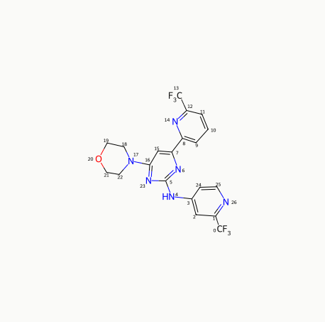 FC(F)(F)c1cc(Nc2nc(-c3cccc(C(F)(F)F)n3)cc(N3CCOCC3)n2)ccn1